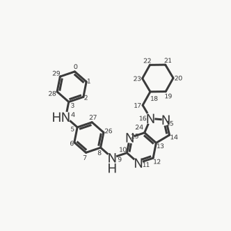 c1ccc(Nc2ccc(Nc3ncc4cnn(CC5CCCCC5)c4n3)cc2)cc1